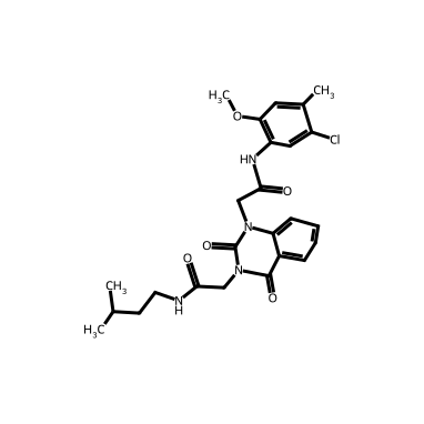 COc1cc(C)c(Cl)cc1NC(=O)Cn1c(=O)n(CC(=O)NCCC(C)C)c(=O)c2ccccc21